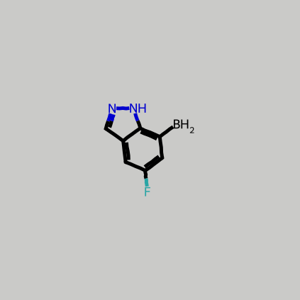 Bc1cc(F)cc2cn[nH]c12